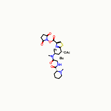 CC[C@H](C)C(NC(=O)[C@H]1CCCCN1C)C(=O)N(C)[C@H](C[C@@H](OC(C)=O)c1nc(C(=O)ON2C(=O)CCC2=O)cs1)C(C)C